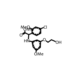 COC(=O)C(Nc1cc(OC)cc(OCCO)c1)c1ccc(Cl)cc1OC